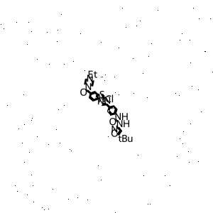 CCN1CCN(C(=O)c2ccc3c(c2)sc2nc(-c4ccc(NC(=O)Nc5cc(C(C)(C)C)on5)cc4)cn23)CC1.Cl